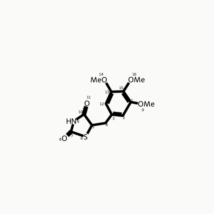 COc1cc(CC2SC(=O)NC2=O)cc(OC)c1OC